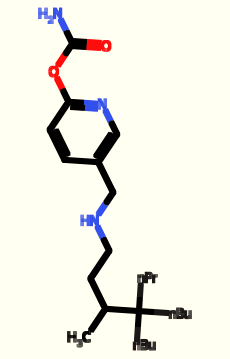 CCCCC(CCC)(CCCC)C(C)CCNCc1ccc(OC(N)=O)nc1